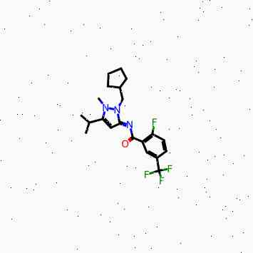 CC(C)c1c/c(=N\C(=O)c2cc(C(F)(F)F)ccc2F)n(CC2CCCC2)n1C